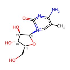 Cc1cn([C@H]2O[C@@H](CO)[C@H](O)[C@H]2O)c(=O)nc1N